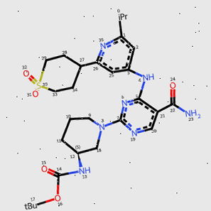 CC(C)c1cc(Nc2nc(N3CCC[C@H](NC(=O)OC(C)(C)C)C3)ncc2C(N)=O)cc(C2CCS(=O)(=O)CC2)n1